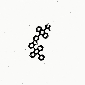 Cc1cocc1-c1c2ccccc2c(-c2ccc3c(c2)OC2C(c4c5ccccc5c(-c5ccccc5)c5ccccc45)=CC=CC32)c2ccccc12